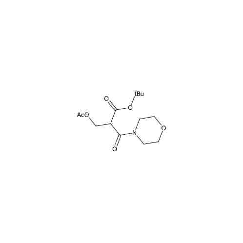 CC(=O)OCC(C(=O)OC(C)(C)C)C(=O)N1CCOCC1